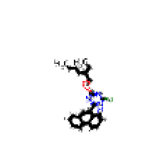 CCCCC(CC)COC1=NC(Cl)NC(C2=CC3CCC=CC3C3C=CC=CC23)=N1